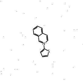 c1csc(-[n+]2ccc3ccccc3c2)c1